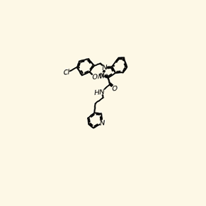 COc1cc(Cl)ccc1Cn1nc(C(=O)NCCc2cccnc2)c2ccccc21